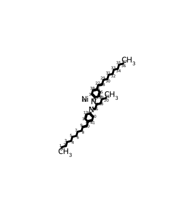 CCCCCCCCCC=Cc1ccc(N=CC(CCCC)=Nc2ccc(C=CCCCCCCCCC)cc2)cc1.[Ni]